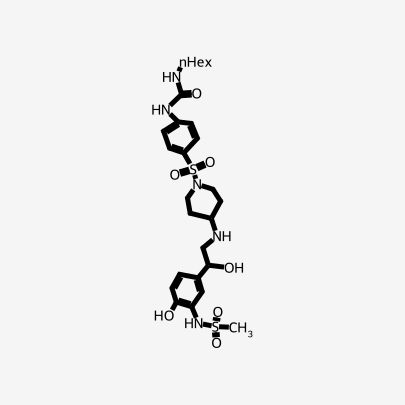 CCCCCCNC(=O)Nc1ccc(S(=O)(=O)N2CCC(NCC(O)c3ccc(O)c(NS(C)(=O)=O)c3)CC2)cc1